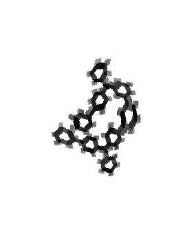 c1ccc(-c2ccc(N(c3ccccc3)c3ccc(-c4cccc(-c5cccc(N(c6ccccc6)c6ccc(-c7ccccc7)cc6)c5)c4)cc3)cc2)cc1